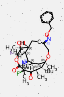 CC(=O)/N=C1\[C@H](C)C[C@@]2(C)OC/C(=N/OCc3ccccc3)CC[C@H]([C@H]1C)[C@](C)(O)[C@@H](I)OC(=O)[C@@](C)(F)C(=O)[C@H](C)[C@H]2C(C)(C)C